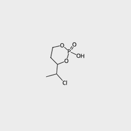 CC(Cl)C1CCOP(=O)(O)O1